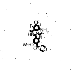 COc1cc2c(NC(C)c3cc(N)cc(C(F)(F)F)c3F)nc(C)nc2cc1C(=O)N1CCOCC1